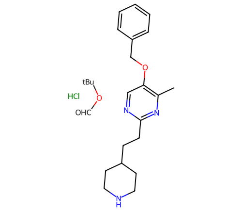 CC(C)(C)OC=O.Cc1nc(CCC2CCNCC2)ncc1OCc1ccccc1.Cl